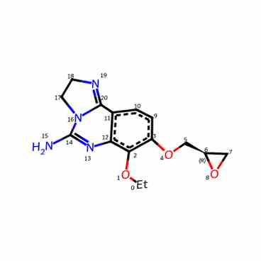 CCOc1c(OC[C@H]2CO2)ccc2c1N=C(N)N1CCN=C21